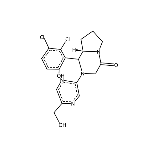 O=C1CN(c2cnc(CO)cn2)C(c2c(O)ccc(Cl)c2Cl)[C@@H]2CCCN12